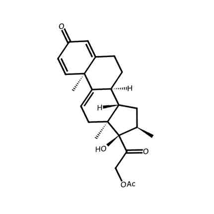 CC(=O)OCC(=O)[C@@]1(O)[C@H](C)C[C@H]2[C@@H]3CCC4=CC(=O)C=C[C@]4(C)C3=CC[C@@]21C